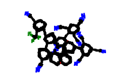 N#Cc1cc(C#N)c(-c2ccc3c(c2)c2ccccc2n3-c2ccc(-c3ccc(C#N)cc3C(F)(F)F)cc2-c2ccc(C#N)cc2-n2c3ccccc3c3cc(-c4c(C#N)cc(C#N)cc4C#N)ccc32)c(C#N)c1